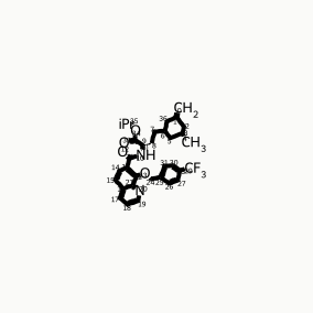 C=C1CC(C)CC(CC[C@H](NC(=O)c2ccc3cccnc3c2OCc2ccc(C(F)(F)F)cc2)C(=O)OC(C)C)C1